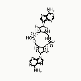 Nc1ncnc2c1ncn2[C@@H]1O[C@@H]2CNS(=O)(=O)O[C@H]3[C@@H](F)[C@H](n4cnc5c(N)ncnc54)O[C@@H]3COP(=O)(O)O[C@H]2[C@H]1F